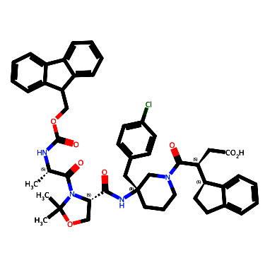 C[C@H](NC(=O)OCC1c2ccccc2-c2ccccc21)C(=O)N1[C@H](C(=O)N[C@@]2(Cc3ccc(Cl)cc3)CCCN(C(=O)[C@@H](CC(=O)O)[C@@H]3CCc4ccccc43)C2)COC1(C)C